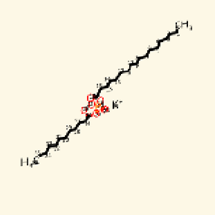 CCCCCCCCCCCCCCCCCC(=O)OP(=O)([O-])OC(=O)CCCCCCCCCCC.[K+]